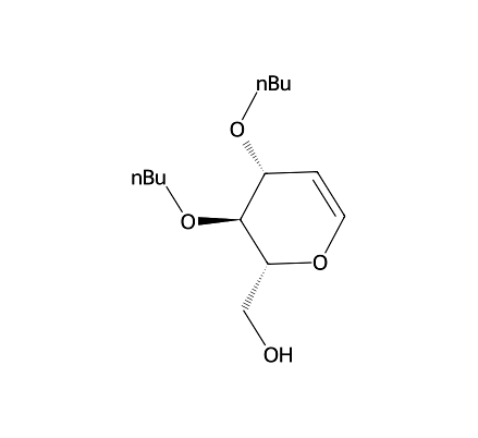 CCCCO[C@H]1[C@H](OCCCC)C=CO[C@@H]1CO